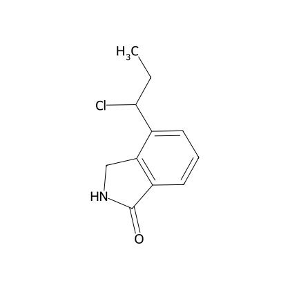 CCC(Cl)c1cccc2c1CNC2=O